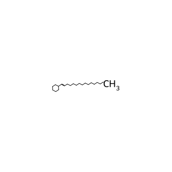 CCCCCCCCCCCCCCC=CC1CCCCC1